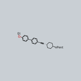 CCCCC[C@H]1CC[C@H](C#Cc2ccc(-c3ccc(OCC)cc3)cc2)CC1